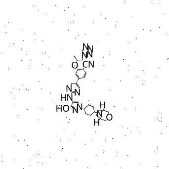 C[C@@H](Cn1cnnn1)Oc1cc(-c2cnc(Nc3cn([C@H]4CC[C@H](N5[C@@H]6CC[C@H]5COC6)CC4)nc3O)nc2)ccc1C#N